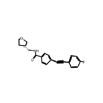 O=C(NC[C@@H]1CCOC1)c1ccc(C#Cc2ccc(F)cc2)cc1